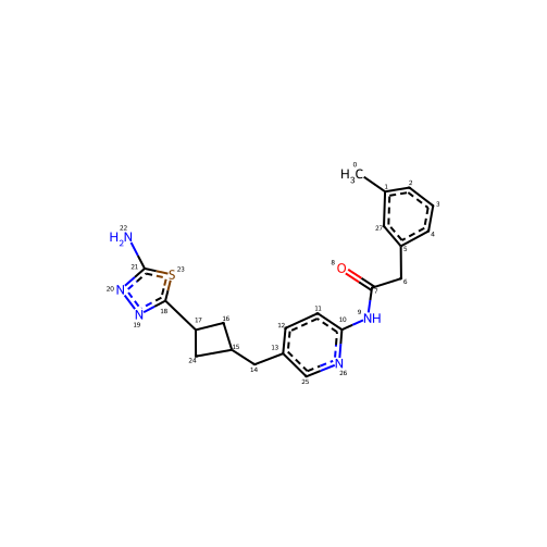 Cc1cccc(CC(=O)Nc2ccc(CC3CC(c4nnc(N)s4)C3)cn2)c1